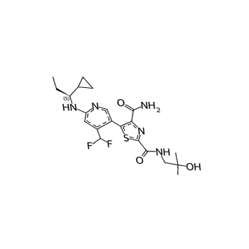 CC[C@H](Nc1cc(C(F)F)c(-c2sc(C(=O)NCC(C)(C)O)nc2C(N)=O)cn1)C1CC1